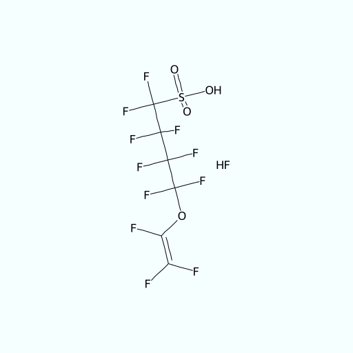 F.O=S(=O)(O)C(F)(F)C(F)(F)C(F)(F)C(F)(F)OC(F)=C(F)F